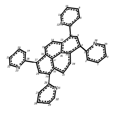 c1ccc(-c2cc(-c3ccccn3)c3ccc4c(-c5ccccn5)cc(-c5ccccn5)c5ccc2c3c54)nc1